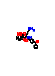 C=C(C(=O)O)C(=O)C(CCCCN)NC(=O)c1ccc(C(=O)c2ccccc2)cc1